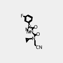 N#CCCN(C(=O)n1nnn(-c2cccc(F)c2)c1=O)C1CC1